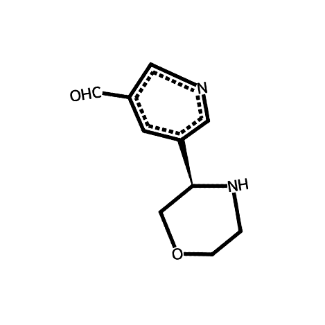 O=Cc1cncc([C@@H]2COCCN2)c1